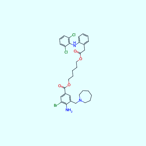 Nc1c(Br)cc(C(=O)OCCCCCOC(=O)Cc2ccccc2Nc2c(Cl)cccc2Cl)cc1CN1CCCCCC1